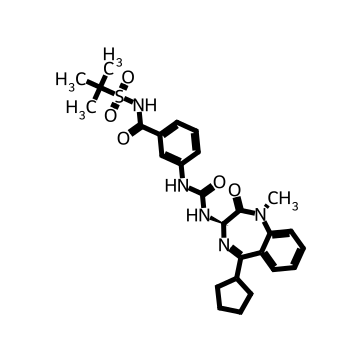 CN1C(=O)[C@H](NC(=O)Nc2cccc(C(=O)NS(=O)(=O)C(C)(C)C)c2)N=C(C2CCCC2)c2ccccc21